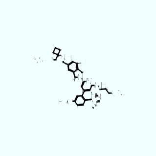 COCC1(NCc2cc3c(c(C(F)(F)F)c2)CN(c2cc(-c4cc(C(F)(F)F)ccc4-c4nncn4C)cc(NCCCC#N)n2)C3=O)CCC1